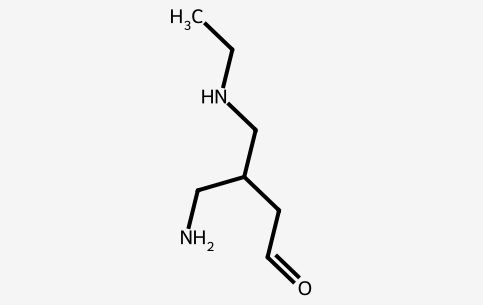 CCNCC(CN)CC=O